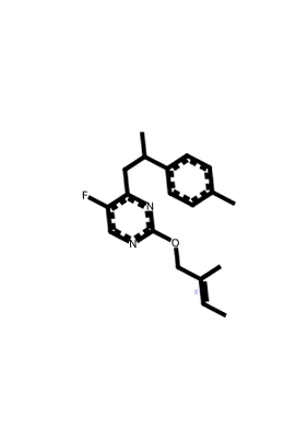 C/C=C(\C)COc1ncc(F)c(CC(C)c2ccc(C)cc2)n1